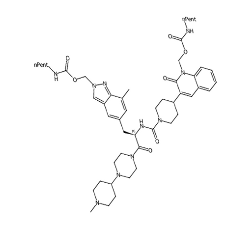 CCCCCNC(=O)OCn1cc2cc(C[C@@H](NC(=O)N3CCC(c4cc5ccccc5n(COC(=O)NCCCCC)c4=O)CC3)C(=O)N3CCN(C4CCN(C)CC4)CC3)cc(C)c2n1